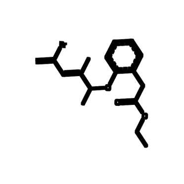 C=C(Br)/C=C(\C)C(C)Oc1ccccc1CC(=O)OCC